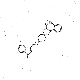 CCc1ccccc1N1CC2(CCN(CCc3c[nH]c4ccccc34)CC2)OC1=O